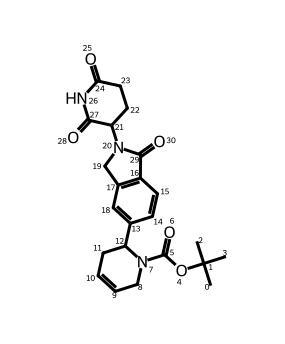 CC(C)(C)OC(=O)N1CC=CCC1c1ccc2c(c1)CN(C1CCC(=O)NC1=O)C2=O